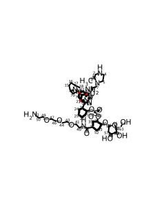 C[C@@H]1CNCCN1CCOc1cc(N2C3CCC2CN(c2cc(-c4ccccc4OS(=O)(=O)Oc4cc(C(=O)NCCOCCOCCOCCN)ccc4O[C@H]4C[C@@H](O)[C@@H](O)[C@@H](CO)O4)nnc2N)C3)ccn1